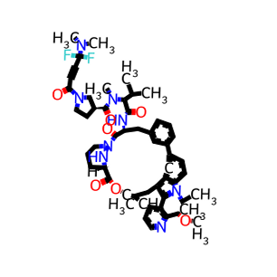 CCn1c(-c2cccnc2[C@H](C)OC)c2c3cc(ccc31)-c1cccc(c1)C[C@H](NC(=O)C(C(C)C)N(C)C(=O)[C@H]1CCN(C(=O)C#CC(F)(F)N(C)C)C1)C(=O)N1CCC[C@H](N1)C(=O)OCC(C)(C)C2